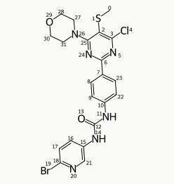 CSc1c(Cl)nc(-c2ccc(NC(=O)Nc3ccc(Br)nc3)cc2)nc1N1CCOCC1